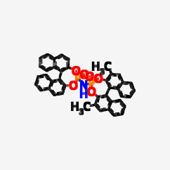 Cc1cc2ccccc2c2c1OP(=O)(NP1(=O)Oc3ccc4ccccc4c3-c3c(ccc4ccccc34)O1)Oc1c(C)cc3ccccc3c1-2